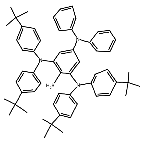 Bc1c(N(c2ccc(C(C)(C)C)cc2)c2ccc(C(C)(C)C)cc2)cc(N(c2ccccc2)c2ccccc2)cc1N(c1ccc(C(C)(C)C)cc1)c1ccc(C(C)(C)C)cc1